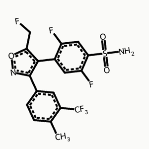 Cc1ccc(-c2noc(CF)c2-c2cc(F)c(S(N)(=O)=O)cc2F)cc1C(F)(F)F